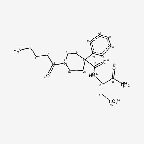 NCCCC(=O)N1CCC(C(=O)N[C@@H](CC(=O)O)C(N)=O)(c2ccccc2)CC1